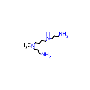 CN(CCCN)CCCCNCCCN